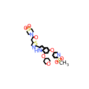 CS(=O)(=O)c1ccc(Oc2cc(OC3CCOCC3)c3[nH]c(C4=NCC(CC(=O)N5CCS(=O)(=O)CC5)S4)cc3c2)cn1